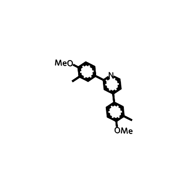 COc1ccc(-c2ccnc(-c3ccc(OC)c(C)c3)c2)cc1C